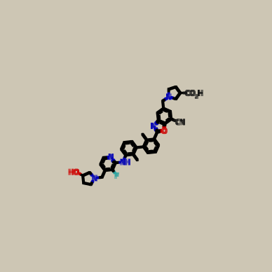 Cc1c(Nc2nccc(CN3CC[C@@H](O)C3)c2F)cccc1-c1cccc(-c2nc3cc(CN4CC[C@@H](C(=O)O)C4)cc(C#N)c3o2)c1C